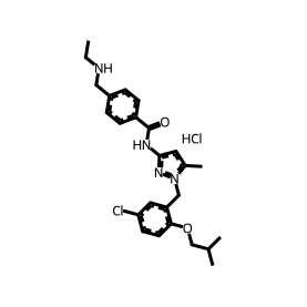 CCNCc1ccc(C(=O)Nc2cc(C)n(Cc3cc(Cl)ccc3OCC(C)C)n2)cc1.Cl